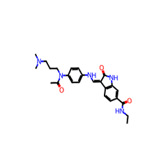 CCNC(=O)c1ccc2c(c1)NC(=O)C2=CNc1ccc(N(CCCN(C)C)C(C)=O)cc1